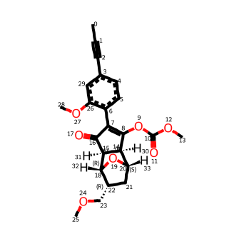 CC#Cc1ccc(C2=C(OC(=O)OC)[C@@H]3[C@H](C2=O)[C@@H]2O[C@H]3C[C@@H]2COC)c(OC)c1